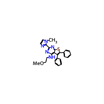 COCCNc1nc(-c2nccn2C)nc2sc(-c3ccccc3)c(-c3ccccc3)c12